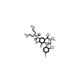 COCCN(CCOC)S(=O)(=O)c1cc(C(=O)NOC)c(Nc2ccc(I)cc2Cl)c(F)c1F